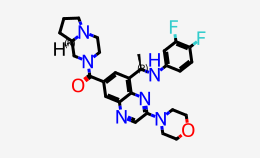 C[C@@H](Nc1ccc(F)c(F)c1)c1cc(C(=O)N2CCN3CCC[C@@H]3C2)cc2ncc(N3CCOCC3)nc12